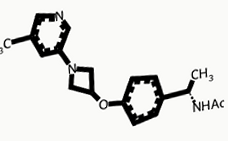 CC(=O)N[C@@H](C)c1ccc(OC2CN(c3cncc(C(F)(F)F)c3)C2)cc1